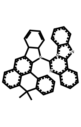 CC1(C)c2ccccc2-c2c3c(cc4cccc1c24)C1C=CC=CC1N3c1nc2ccccc2c2nc3ccccc3n12